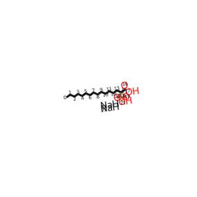 CCCCCCCCCCCCCCC(C(=O)O)S(=O)(=O)O.[NaH].[NaH]